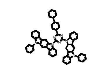 C1=C2c3ccccc3N(c3nc(-c4ccc(-c5ccccc5)cc4)nc(-n4c5ccccc5c5cc6c(cc54)c4ccccc4n6-c4ccccc4)n3)C2Cc2c1n(-c1ccccc1)c1ccccc21